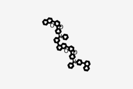 c1ccc(N(c2cccc(-c3cccc4c3ccc3c5ccc6oc7cc(N(c8ccccc8)c8ccc(-c9cccc%10ccccc9%10)cc8)ccc7c6c5oc43)c2)c2ccc3c(c2)oc2ccc4c5ccc6ccccc6c5oc4c23)cc1